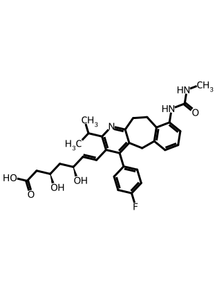 CNC(=O)Nc1cccc2c1CCc1nc(C(C)C)c(/C=C/[C@@H](O)C[C@@H](O)CC(=O)O)c(-c3ccc(F)cc3)c1C2